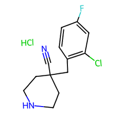 Cl.N#CC1(Cc2ccc(F)cc2Cl)CCNCC1